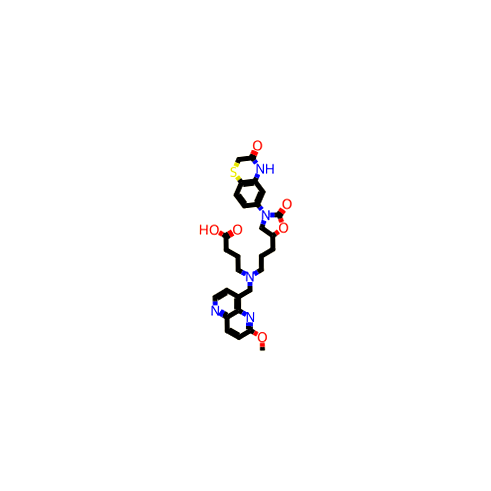 COc1ccc2nccc(CN(CCCC(=O)O)CCCC3CN(c4ccc5c(c4)NC(=O)CS5)C(=O)O3)c2n1